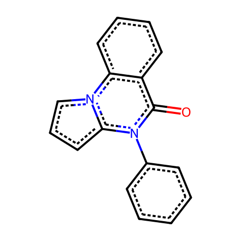 O=c1c2ccccc2n2cccc2n1-c1ccccc1